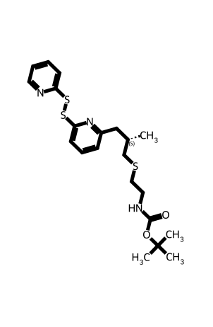 C[C@H](CSCCNC(=O)OC(C)(C)C)Cc1cccc(SSc2ccccn2)n1